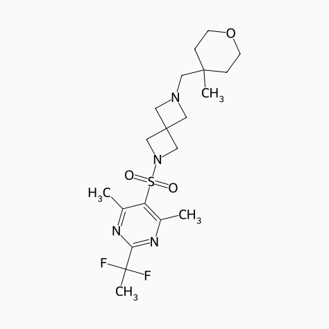 Cc1nc(C(C)(F)F)nc(C)c1S(=O)(=O)N1CC2(CN(CC3(C)CCOCC3)C2)C1